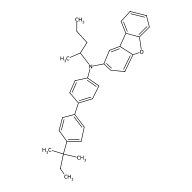 CCCC(C)N(c1ccc(-c2ccc(C(C)(C)CC)cc2)cc1)c1ccc2oc3ccccc3c2c1